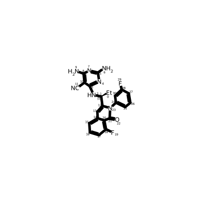 CC[C@H](Nc1nc(N)nc(N)c1C#N)c1cc2cccc(F)c2c(=O)n1-c1cccc(F)c1